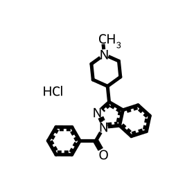 CN1CCC(c2nn(C(=O)c3ccccc3)c3ccccc23)CC1.Cl